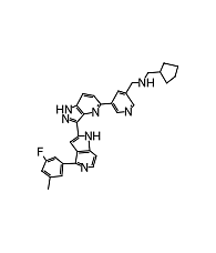 Cc1cc(F)cc(-c2nccc3[nH]c(-c4n[nH]c5ccc(-c6cncc(CNCC7CCCC7)c6)nc45)cc23)c1